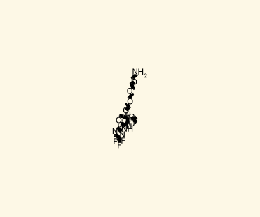 CC1(C)O[C@@H]2[C@@H](Nc3cncc(C(F)(F)F)n3)[C@H]3OC[C@](COCCOCCOCCOCCN)(O3)[C@@H]2O1